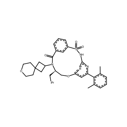 Cc1cccc(C)c1-c1cc2nc(n1)NS(=O)(=O)c1cccc(c1)C(=O)N(C1CC3(CCOCC3)C1)[C@H](CC(C)C)CO2